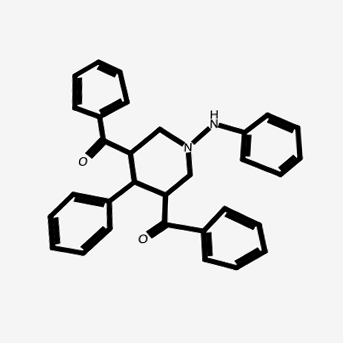 O=C(c1ccccc1)C1CN(Nc2ccccc2)CC(C(=O)c2ccccc2)C1c1ccccc1